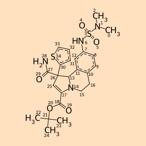 CN(C)S(=O)(=O)Nc1ccc2c(c1)C1N(CC2)C(C(=O)OC(C)(C)C)=CC1(C(N)=O)c1cccs1